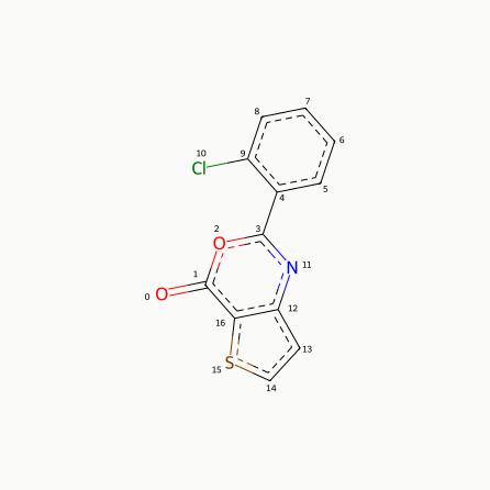 O=c1oc(-c2ccccc2Cl)nc2ccsc12